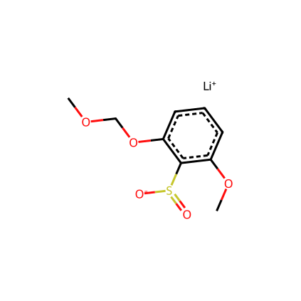 COCOc1cccc(OC)c1S(=O)[O-].[Li+]